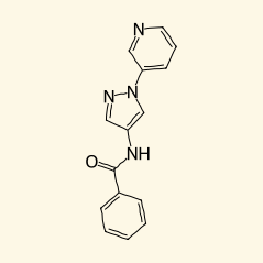 O=C(Nc1cnn(-c2cccnc2)c1)c1ccccc1